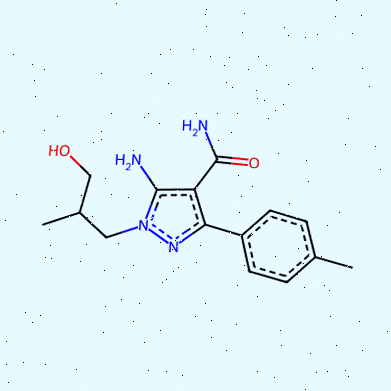 Cc1ccc(-c2nn(CC(C)CO)c(N)c2C(N)=O)cc1